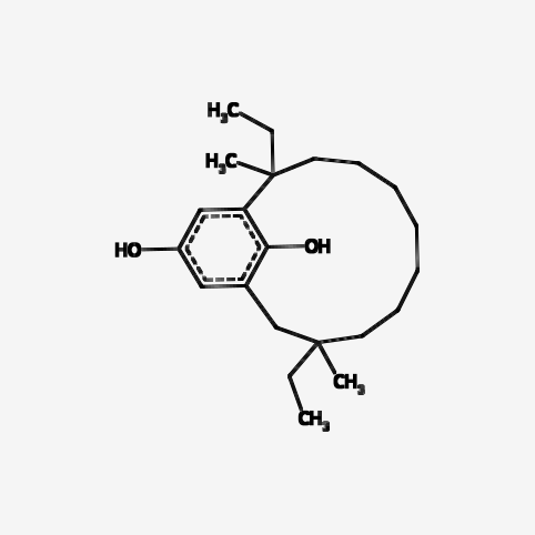 CCC1(C)CCCCCCCC(C)(CC)c2cc(O)cc(c2O)C1